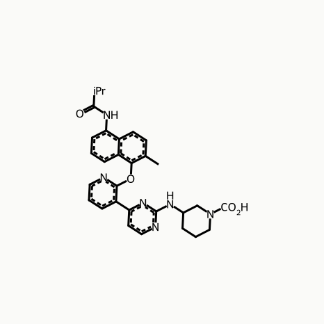 Cc1ccc2c(NC(=O)C(C)C)cccc2c1Oc1ncccc1-c1ccnc(NC2CCCN(C(=O)O)C2)n1